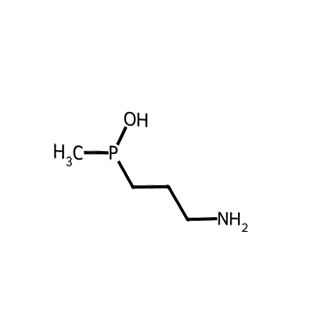 CP(O)CCCN